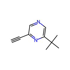 C#Cc1cncc(C(C)(C)C)n1